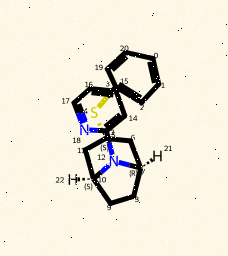 c1ccc(S[C@@H]2C[C@H]3CC[C@@H](C2)N3c2ccccn2)cc1